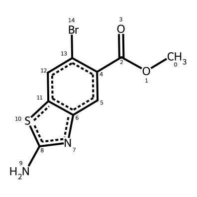 COC(=O)c1cc2nc(N)sc2cc1Br